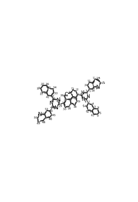 c1ccc2cc(-c3nc(-c4ccc5cccnc5c4)nc(-c4ccc5ccc6c(-c7nc(-c8ccc9ccccc9c8)nc(-c8ccc9cccnc9c8)n7)ccc7ccc4c5c76)n3)ccc2c1